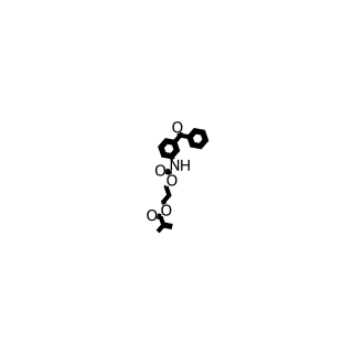 C=C(C)C(=O)OCCCOC(=O)Nc1cccc(C(=O)c2ccccc2)c1